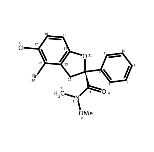 CON(C)C(=O)[C@@]1(c2ccccc2)Cc2c(ccc(Cl)c2Br)O1